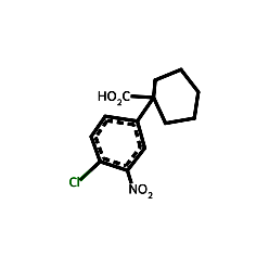 O=C(O)C1(c2ccc(Cl)c([N+](=O)[O-])c2)CCCCC1